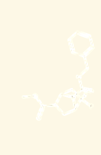 COC(=O)C1CC2N(C(=O)OCc3ccccc3)C1CC2(F)F